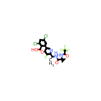 C[C@@H](NC(=O)C1(NC(=O)C(F)(F)F)CC1)c1ncc(-c2cc(Cl)cc(Cl)c2C(=O)O)cc1F